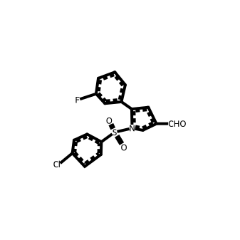 O=Cc1cc(-c2cccc(F)c2)n(S(=O)(=O)c2ccc(Cl)cc2)c1